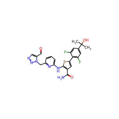 CC(C)(O)c1cc(F)c(-c2cc(C(N)=O)c(Nc3cccc(Cn4nncc4C=O)n3)s2)c(F)c1